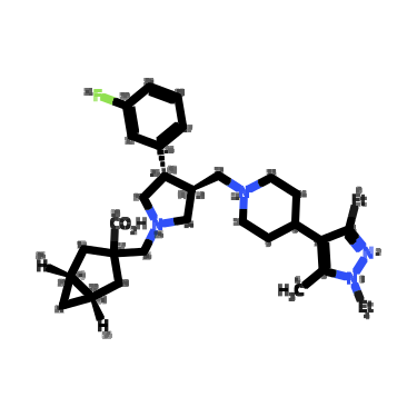 CCc1nn(CC)c(C)c1C1CCN(C[C@H]2CN(CC3(C(=O)O)C[C@H]4C[C@H]4C3)C[C@@H]2c2cccc(F)c2)CC1